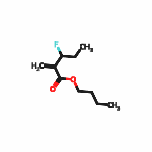 C=C(C(=O)OCCCC)C(F)CC